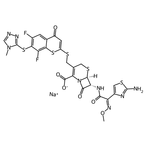 CO/N=C(\C(=O)N[C@@H]1C(=O)N2C(C(=O)[O-])=C(CSc3cc(=O)c4cc(F)c(Sc5nncn5C)c(F)c4s3)CS[C@@H]12)c1csc(N)n1.[Na+]